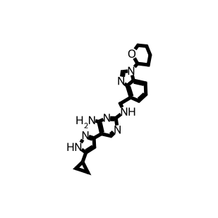 Nc1nc(NCc2cccc3c2ncn3C2CCCCO2)ncc1-c1cc(C2CC2)[nH]n1